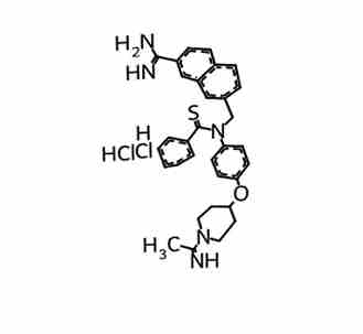 CC(=N)N1CCC(Oc2ccc(N(Cc3ccc4ccc(C(=N)N)cc4c3)C(=S)c3ccccc3)cc2)CC1.Cl.Cl